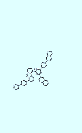 c1ccc(-c2ccc(-c3cccc4c3oc3cccc(C5=NC(c6ccc7ccccc7c6)=NC(c6ccc(-c7ccc8ccccc8c7)cc6)N5)c34)cc2)cc1